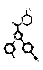 Cc1cccc(-n2nc(C(=O)N3CCCC(N)C3)cc2-c2ccc(C#N)cc2)c1